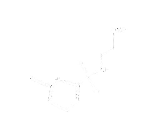 COCCNS(=O)(=O)c1cccc(=O)[nH]1